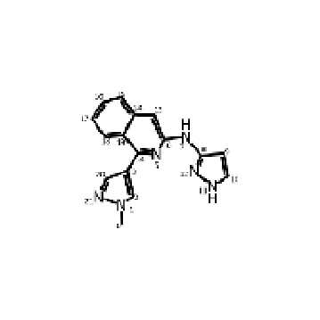 Cn1cc(-c2nc(Nc3cc[nH]n3)cc3ccccc23)cn1